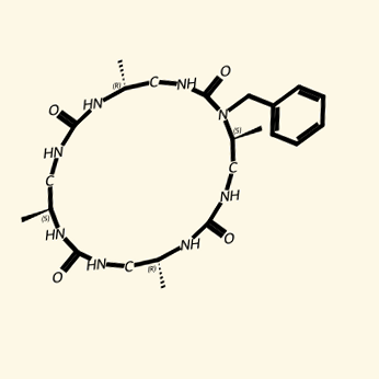 C[C@@H]1CNC(=O)N[C@@H](C)CNC(=O)N[C@H](C)CNC(=O)N(Cc2ccccc2)[C@@H](C)CNC(=O)N1